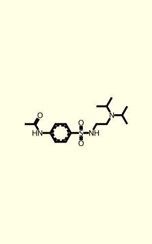 CC(=O)Nc1ccc(S(=O)(=O)NCCN(C(C)C)C(C)C)cc1